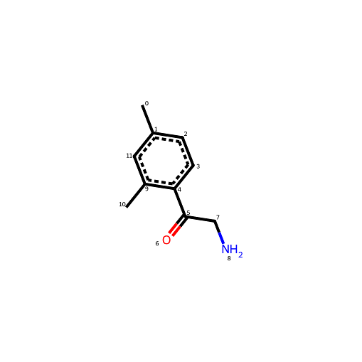 Cc1ccc(C(=O)CN)c(C)c1